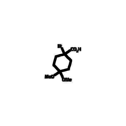 CCC1(C(=O)O)CCC(OC)(OC)CC1